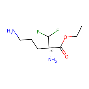 CCOC(=O)[C@@](N)(CCCN)C(F)F